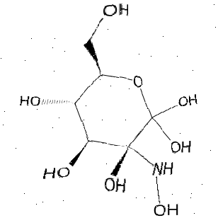 OC[C@H]1OC(O)(O)[C@](O)(NO)[C@@H](O)[C@@H]1O